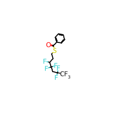 O=C(SCCC(F)C(F)(F)CC(F)(F)C(F)(F)F)c1ccccc1